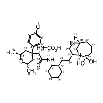 C[C@@H]1CC(c2ccc(Cl)cc2)([C@H](NC(=O)O)C(=O)N[C@H]2CCCC[C@@H]2CC[C@H]2CN[C@@H]3CCCS(O)(O)N2C3)C[C@H](C)O1